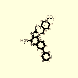 CCCc1nc2c(N)nc3cc(-c4cccnc4)ccc3c2n1CC1CCN(C(=O)O)CC1